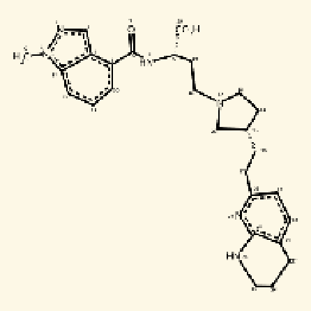 Cn1ncc2c(C(=O)N[C@@H](CCN3CC[C@H](CCc4ccc5c(n4)NCCC5)C3)C(=O)O)cccc21